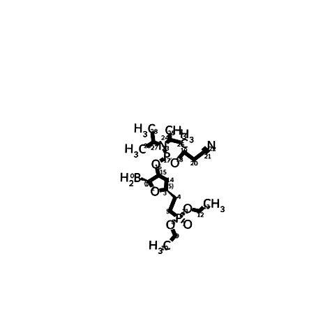 B[C@@H]1O[C@H](CCP(=O)(OCC)OCC)CC1OP(OCCC#N)N(C(C)C)C(C)C